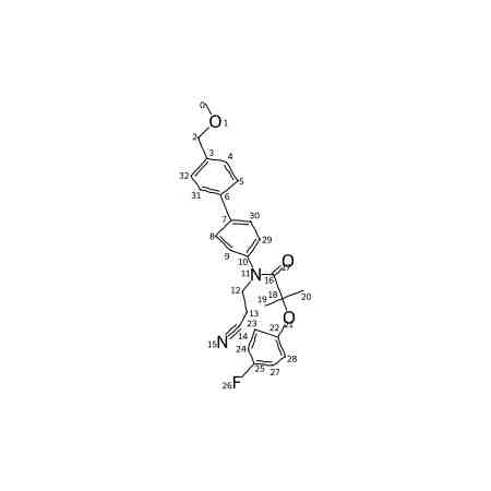 COCc1ccc(-c2ccc(N(CCC#N)C(=O)C(C)(C)Oc3ccc(F)cc3)cc2)cc1